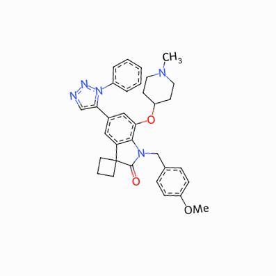 COc1ccc(CN2C(=O)C3(CCC3)c3cc(-c4cnnn4-c4ccccc4)cc(OC4CCN(C)CC4)c32)cc1